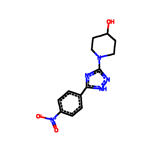 O=[N+]([O-])c1ccc(-c2nc(N3CCC(O)CC3)n[nH]2)cc1